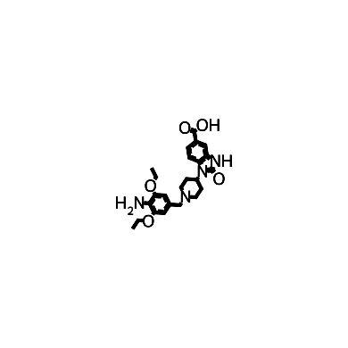 CCOc1cc(CN2CCC(n3c(=O)[nH]c4cc(C(=O)O)ccc43)CC2)cc(OCC)c1N